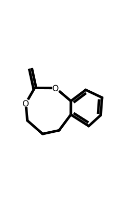 C=C1OCCCc2ccccc2O1